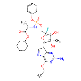 CCOc1nc(N)nc2c1N=CC2[C@@H]1O[C@](F)(COP(=O)(NC(C)C(=O)OC2CCCCC2)Oc2ccccc2)[C@@H](O)[C@@]1(C)O